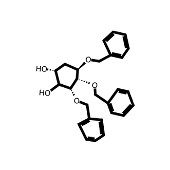 OC1[C@H](O)C[C@@H](OCc2ccccc2)[C@H](OCc2ccccc2)[C@@H]1OCc1ccccc1